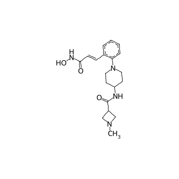 CN1CC(C(=O)NC2CCN(c3ccccc3C=CC(=O)NO)CC2)C1